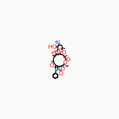 C=C1C(=O)[C@H](C)C[C@](C)(OC)[C@H](OC2O[C@H](C)C[C@H](N(C)C)[C@H]2O)[C@@H](C)C(=O)[C@@H](C)C(=O)O[C@H](CC)[C@@]2(C)OC(=O)N(Cc3ccccc3)[C@H]12